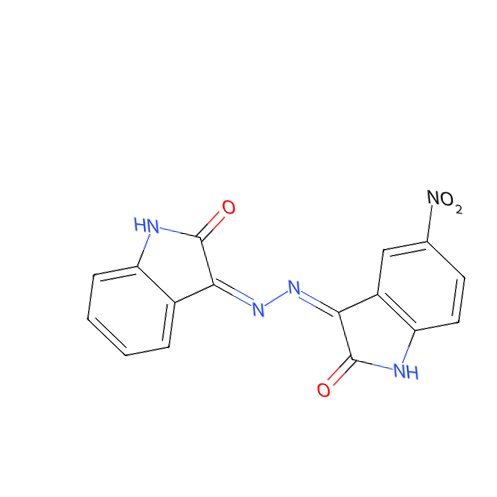 O=C1Nc2ccccc2/C1=N/N=C1\C(=O)Nc2ccc([N+](=O)[O-])cc21